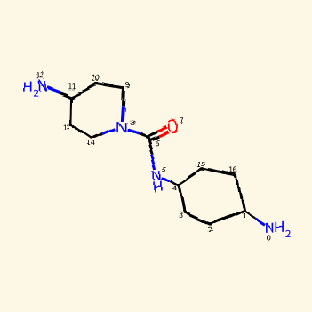 NC1CCC(NC(=O)N2CCC(N)CC2)CC1